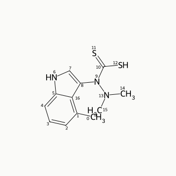 Cc1cccc2[nH]cc(N(C(=S)S)N(C)C)c12